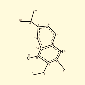 CCc1c(C)nc2ccc(C(C)C)cc2c1Cl